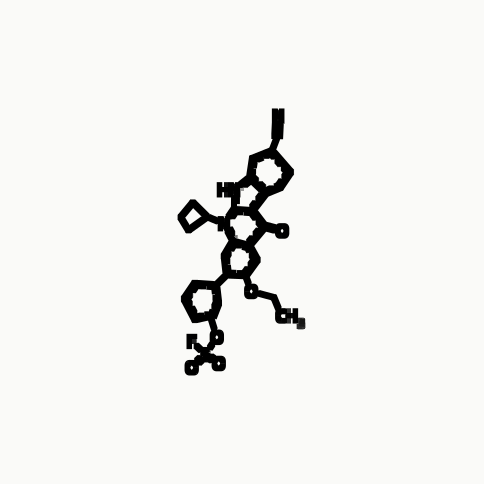 CCOc1cc2c(=O)c3c4ccc(C#N)cc4[nH]c3n(C3CCC3)c2cc1-c1cccc(OS(=O)(=O)F)c1